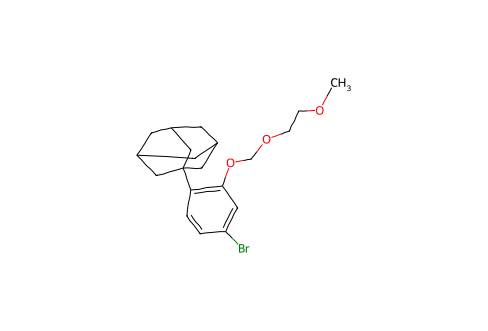 COCCOCOc1cc(Br)ccc1C12CC3CC(CC(C3)C1)C2